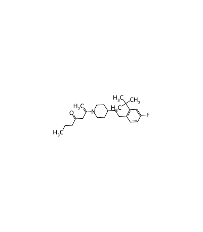 C=C(CC(=O)CCC)N1CCC(CCc2ccc(F)cc2C(C)(C)C)CC1